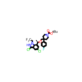 C[C@@H](OCC1(c2ccc(F)cc2)CCN(C(=O)OC(C)(C)C)CC1)C1=CC(Cl)=CC2=C(Cl)NN(CC(F)(F)F)C12